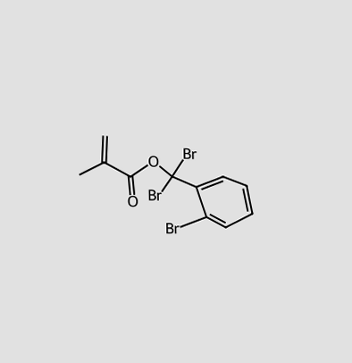 C=C(C)C(=O)OC(Br)(Br)c1ccccc1Br